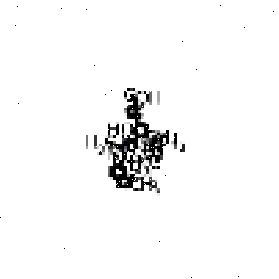 CC1=NN(c2ccc3c(c2)C(C)(C)CC3)C(=O)/C1=N\Nc1cccc(-c2ccc(C(=O)O)o2)c1O.CCNCC.CCNCC